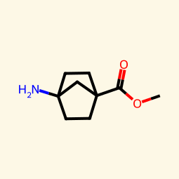 COC(=O)C12CCC(N)(CC1)C2